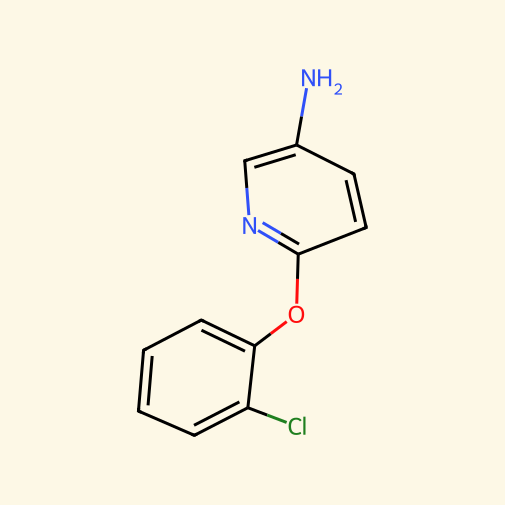 Nc1ccc(Oc2ccccc2Cl)nc1